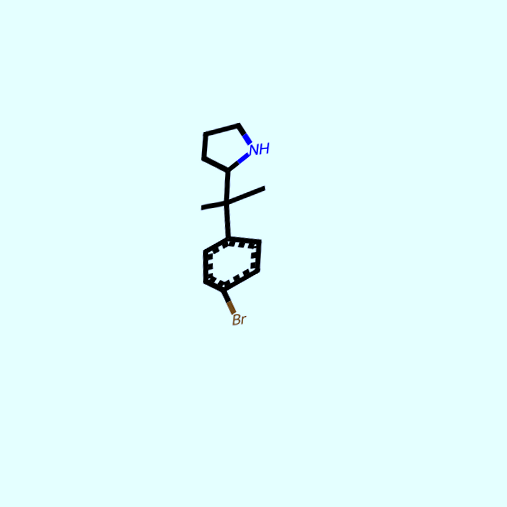 CC(C)(c1ccc(Br)cc1)C1CCCN1